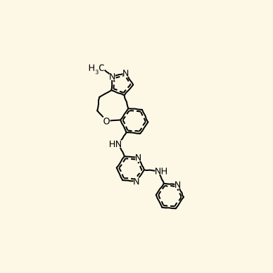 Cn1ncc2c1CCOc1c(Nc3ccnc(Nc4ccccn4)n3)cccc1-2